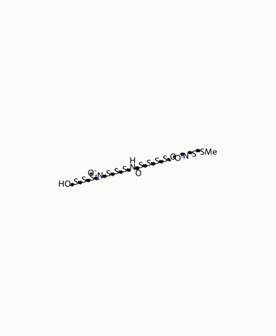 CSCSC/N=C/OOCSCSCSCSC(=O)NCSCSCSC/N=C/[S+]([O-])CSCSCO